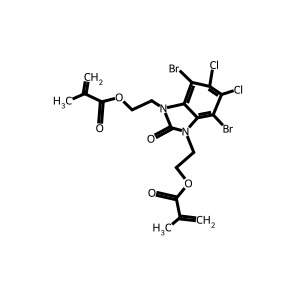 C=C(C)C(=O)OCCn1c(=O)n(CCOC(=O)C(=C)C)c2c(Br)c(Cl)c(Cl)c(Br)c21